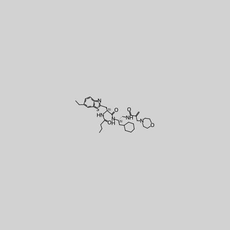 C=C(CN1CCOCC1)C(=O)NC[C@H](CC1CCCCC1)NC(=O)[C@H](Cc1nc2ccc(CC)cc2s1)NC(=O)CCC